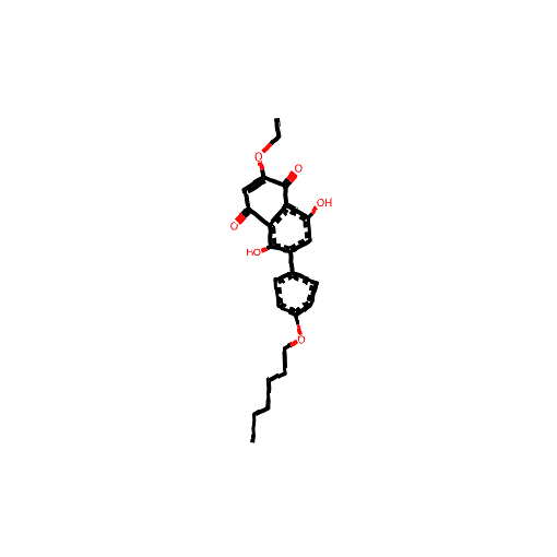 CCCCCCOc1ccc(-c2cc(O)c3c(c2O)C(=O)C=C(OCC)C3=O)cc1